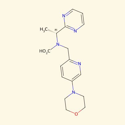 C[C@H](c1ncccn1)N(Cc1ccc(N2CCOCC2)cn1)C(=O)O